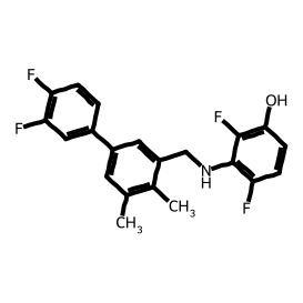 Cc1cc(-c2ccc(F)c(F)c2)cc(CNc2c(F)ccc(O)c2F)c1C